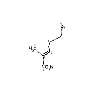 CC(C)CCC=C(N)C(=O)O